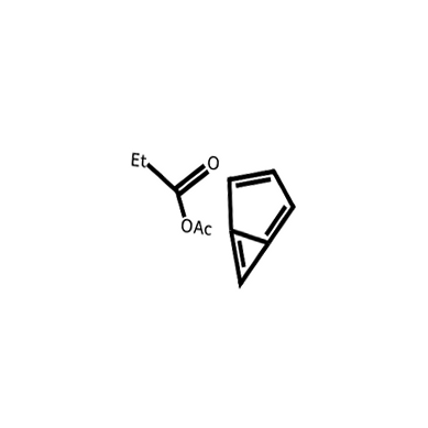 CCC(=O)OC(C)=O.c1cc2cc-2c1